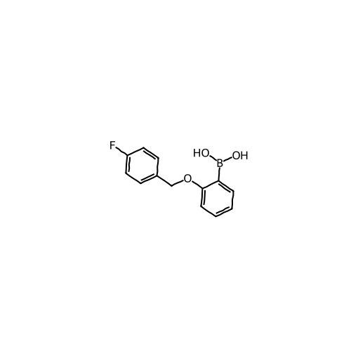 OB(O)c1ccccc1OCc1ccc(F)cc1